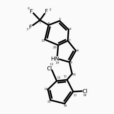 FC(F)(F)c1ccc2cc(Cc3c(Cl)[c]ccc3Cl)[nH]c2c1